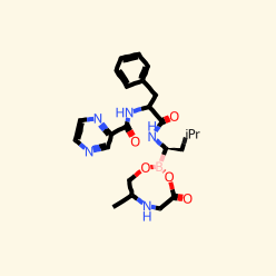 CC(C)C[C@H](NC(=O)C(Cc1ccccc1)NC(=O)c1cnccn1)B1OCC(C)NCC(=O)O1